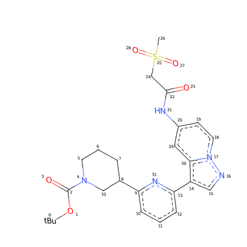 CC(C)(C)OC(=O)N1CCCC(c2cccc(-c3cnn4ccc(NC(=O)CS(C)(=O)=O)cc34)n2)C1